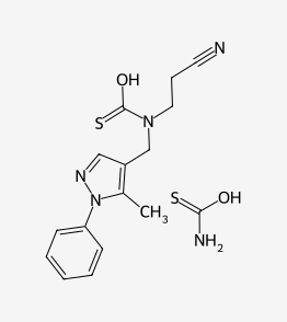 Cc1c(CN(CCC#N)C(O)=S)cnn1-c1ccccc1.NC(O)=S